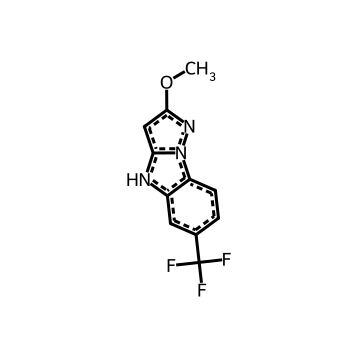 COc1cc2[nH]c3cc(C(F)(F)F)ccc3n2n1